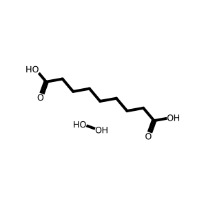 O=C(O)CCCCCCCC(=O)O.OO